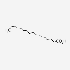 C/C=C\CCCCCCCCCCCCCC(=O)O